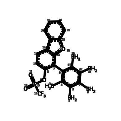 Bc1c(B)c(B)c(-c2c(OS(=O)(=O)C(F)(F)F)ccc3c2oc2ccccc23)c(B)c1B